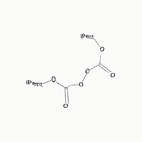 CCCC(C)OC(=O)OOC(=O)OC(C)CCC